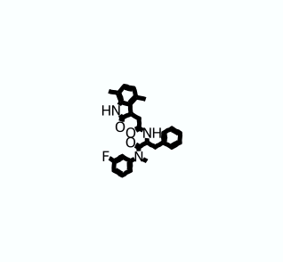 Cc1ccc(C)c2c1NC(=O)C2CC(=O)NC(Cc1ccccc1)C(=O)N(C)c1cccc(F)c1